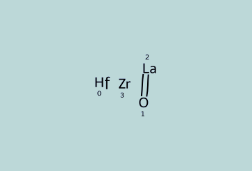 [Hf].[O]=[La].[Zr]